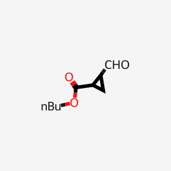 CCCCOC(=O)C1CC1C=O